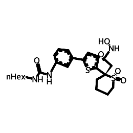 CCCCCCNC(=O)Nc1cccc(-c2ccc([C@@]3(CC(=O)NO)CCCCS3(=O)=O)s2)c1